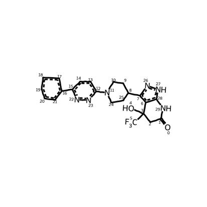 O=C1CC(O)(C(F)(F)F)c2c(C3CCN(c4ccc(-c5ccccc5)nn4)CC3)n[nH]c2N1